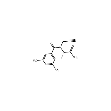 C#CCN(C(=O)c1cc(C(F)(F)F)cc(C(F)(F)F)c1)[C@@H](C)C(N)=O